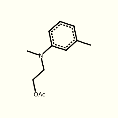 CC(=O)OCCN(C)c1cccc(C)c1